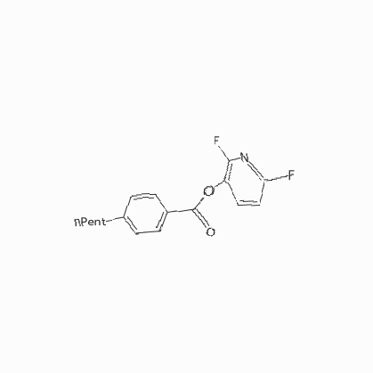 CCCCCc1ccc(C(=O)Oc2ccc(F)nc2F)cc1